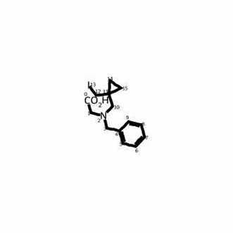 O=C(O)CN(Cc1ccccc1)CC1(CI)CC1